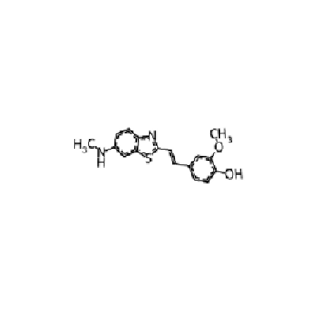 CNc1ccc2nc(C=Cc3ccc(O)c(OC)c3)sc2c1